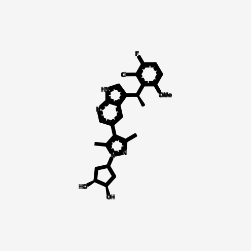 COc1ccc(F)c(Cl)c1[C@@H](C)c1c[nH]c2ncc(-c3c(C)nn(C4C[C@@H](O)[C@@H](O)C4)c3C)cc12